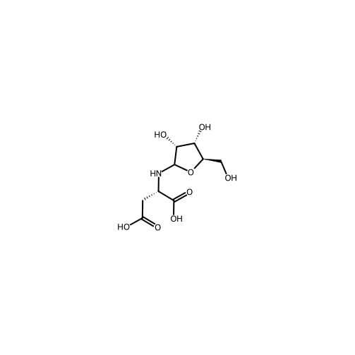 O=C(O)C[C@H](NC1O[C@H](CO)[C@@H](O)[C@H]1O)C(=O)O